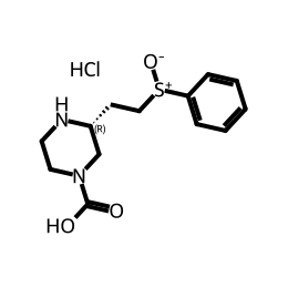 Cl.O=C(O)N1CCN[C@H](CC[S+]([O-])c2ccccc2)C1